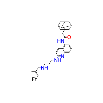 CCC=C(C)CNCCCNc1ccc2c(NC(=O)CC34CC5CC(CC(C5)C3)C4)cccc2n1